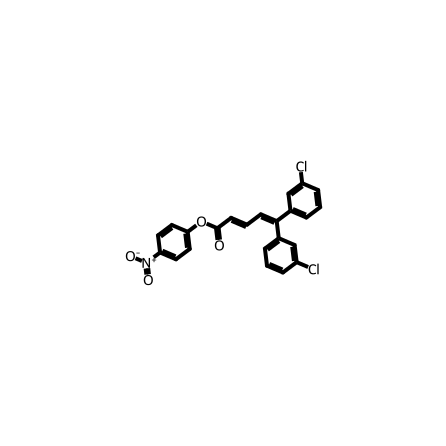 O=C(C=CC=C(c1cccc(Cl)c1)c1cccc(Cl)c1)Oc1ccc([N+](=O)[O-])cc1